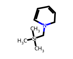 C[Si](C)(C)CN1C=CC=CC1